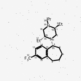 CC[C@H]1CN([C@@H]2CCCCc3cc(C(F)(F)F)ccc32)[C@H](CC)CN1C(C)C